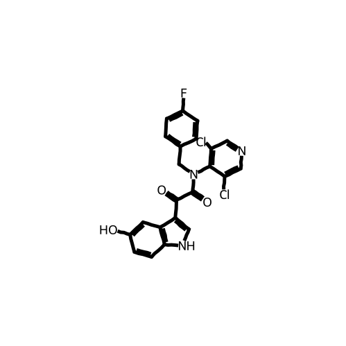 O=C(C(=O)N(Cc1ccc(F)cc1)c1c(Cl)cncc1Cl)c1c[nH]c2ccc(O)cc12